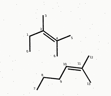 CCC(C)=C(C)C.CCCC=C(C)C